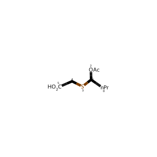 CCCC(OC(C)=O)SCC(=O)O